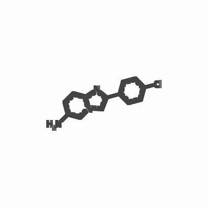 Nc1ccc2nc(-c3ccc(Cl)cc3)cn2c1